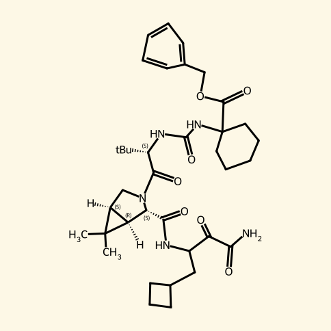 CC(C)(C)[C@H](NC(=O)NC1(C(=O)OCc2ccccc2)CCCCC1)C(=O)N1C[C@H]2[C@@H]([C@H]1C(=O)NC(CC1CCC1)C(=O)C(N)=O)C2(C)C